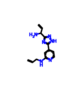 C=CCNc1cc(-c2nc(C(N)C=C)n[nH]2)ccn1